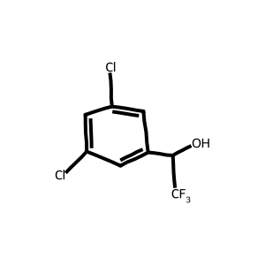 OC(c1cc(Cl)cc(Cl)c1)C(F)(F)F